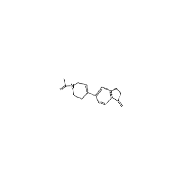 C=C1CCc2cc(C3=CCN(C(=C)C)CC3)ccc21